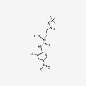 CC(C)(C)OC(=O)CC[C@H](N)C(=O)Nc1ccc([N+](=O)[O-])cc1Cl